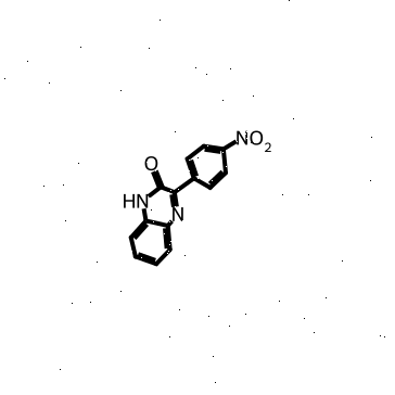 O=c1[nH]c2ccccc2nc1-c1ccc([N+](=O)[O-])cc1